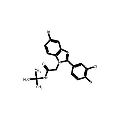 CC(C)(C)NC(=O)Cn1c(-c2ccc(F)c(Cl)c2)nc2cc(Br)ccc21